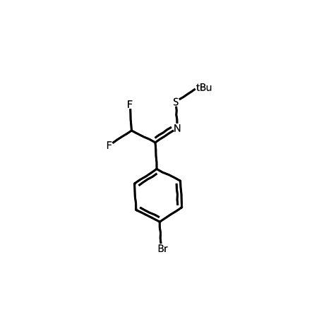 CC(C)(C)S/N=C(/c1ccc(Br)cc1)C(F)F